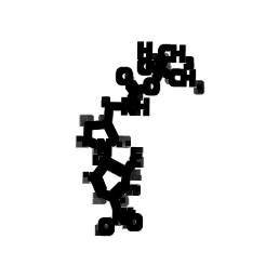 CC(C)(C)OC(=O)NCC1CCN(c2ccc([N+](=O)[O-])cc2F)C1